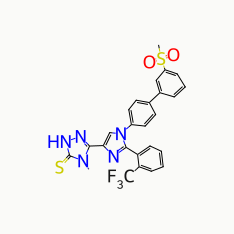 Cn1c(-c2cn(-c3ccc(-c4cccc(S(C)(=O)=O)c4)cc3)c(-c3ccccc3C(F)(F)F)n2)n[nH]c1=S